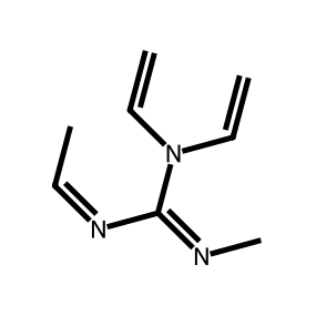 C=CN(C=C)C(/N=C\C)=N\C